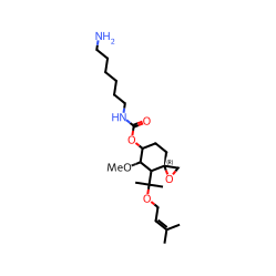 COC1C(OC(=O)NCCCCCCN)CC[C@]2(CO2)C1C(C)(C)OCC=C(C)C